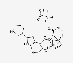 NC(=O)[C@@H]1[C@H](Nc2c(Cl)cnc3[nH]c(C4CCCNC4)nc23)[C@H]2C=C[C@@H]1C2.O=C(O)C(F)(F)F